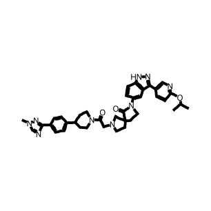 CC(C)Oc1ccc(-c2n[nH]c3ccc(N4CCC5(CCN(CC(=O)N6CCC(c7ccc(-c8ncn(C)n8)cc7)CC6)C5)C4=O)cc23)cn1